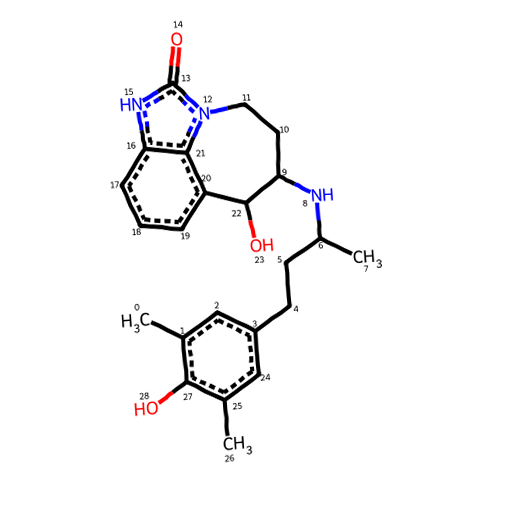 Cc1cc(CCC(C)NC2CCn3c(=O)[nH]c4cccc(c43)C2O)cc(C)c1O